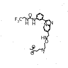 CN(CCONCc1ccn2c(-c3cccc(NC(=O)NCC(F)(F)F)c3)cnc2c1)CCS(C)(=O)=O